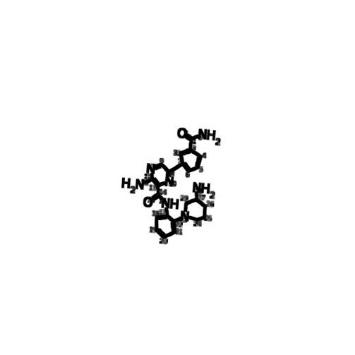 NC(=O)c1cccc(-c2cnc(N)c(C(=O)Nc3ccccc3N3CCCC(N)C3)n2)c1